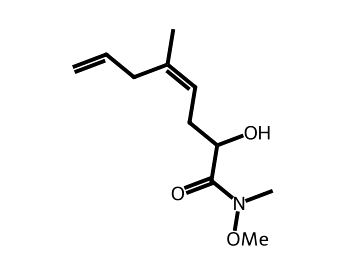 C=CCC(C)=CCC(O)C(=O)N(C)OC